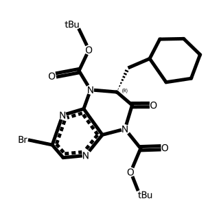 CC(C)(C)OC(=O)N1C(=O)[C@@H](CC2CCCCC2)N(C(=O)OC(C)(C)C)c2nc(Br)cnc21